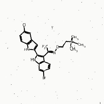 C[N+](C)(C)CCON=C(c1c(-c2cc3cc(Cl)ccc3[nH]2)[nH]c2cc(Br)ccc12)C(F)(F)F.[I-]